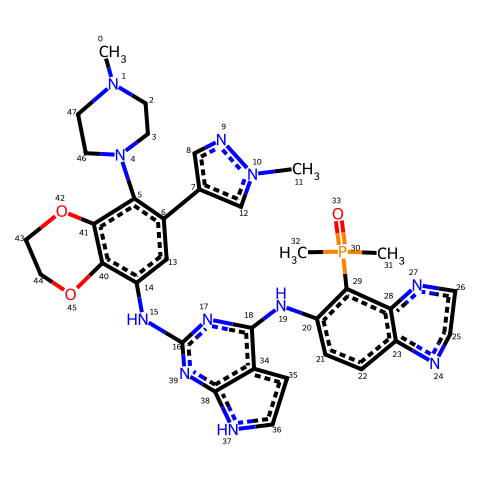 CN1CCN(c2c(-c3cnn(C)c3)cc(Nc3nc(Nc4ccc5nccnc5c4P(C)(C)=O)c4cc[nH]c4n3)c3c2OCCO3)CC1